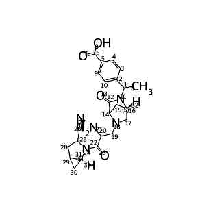 CC(c1ccc(C(=O)O)cc1)N1C(=O)C2C[C@H]1CN2CC(N)C(=O)N1C(C#N)CC2C[C@@H]21